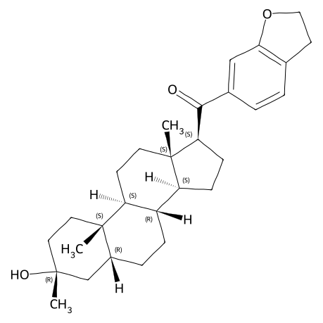 C[C@@]1(O)CC[C@@]2(C)[C@H](CC[C@@H]3[C@@H]2CC[C@]2(C)[C@@H](C(=O)c4ccc5c(c4)OCC5)CC[C@@H]32)C1